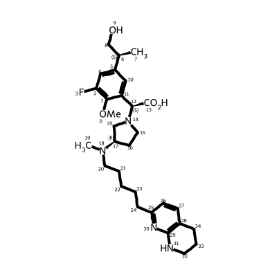 COc1c(F)cc([C@H](C)CO)cc1[C@@H](C(=O)O)N1CC[C@@H](N(C)CCCCCc2ccc3c(n2)NCCC3)C1